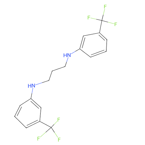 FC(F)(F)c1cccc(NCCCNc2cccc(C(F)(F)F)c2)c1